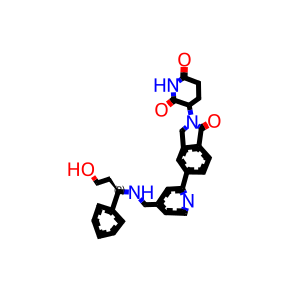 O=C1CCC(N2Cc3cc(-c4cc(CN[C@H](CCO)c5ccccc5)ccn4)ccc3C2=O)C(=O)N1